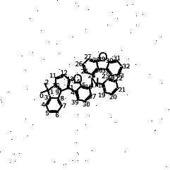 CC1(C)c2ccccc2-c2c1ccc1oc3c(N(c4ccccc4)c4cccc5oc6ccccc6c45)cccc3c21